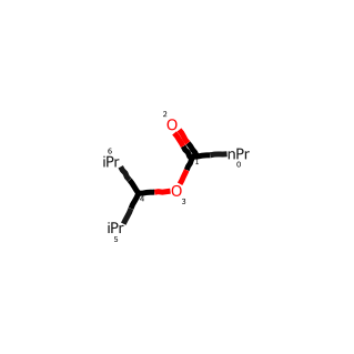 CCCC(=O)OC(C(C)C)C(C)C